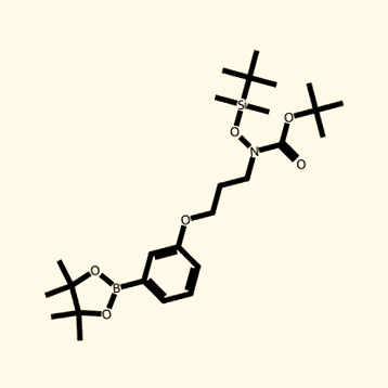 CC(C)(C)OC(=O)N(CCCOc1cccc(B2OC(C)(C)C(C)(C)O2)c1)O[Si](C)(C)C(C)(C)C